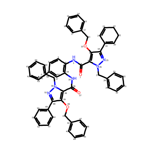 N#Cc1ccc(NC(=O)c2c(OCc3ccccc3)c(C3=CCCC=C3)nn2Cc2ccccc2)c(NC(=O)c2c(OCc3ccccc3)c(-c3ccccc3)nn2Cc2ccccc2)c1